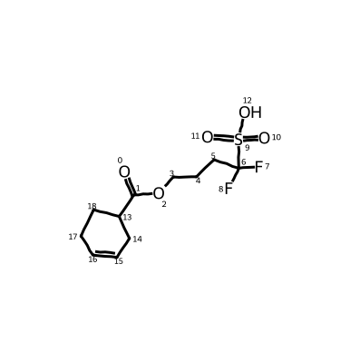 O=C(OCCCC(F)(F)S(=O)(=O)O)C1CC=CCC1